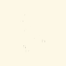 CCN(C)CC[C@H](Oc1cccc2c1OCO2)c1ccc(Br)s1